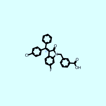 O=C(O)c1cccc(CN2C(=O)/C(=C(\c3ccccc3)c3ccc(Cl)cc3)c3ccc(F)cc32)c1